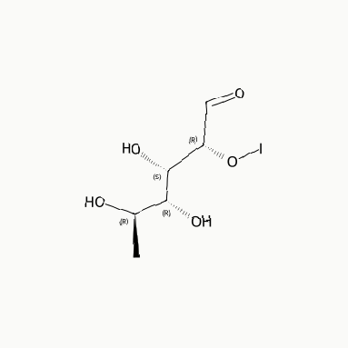 C[C@@H](O)[C@@H](O)[C@H](O)[C@H](C=O)OI